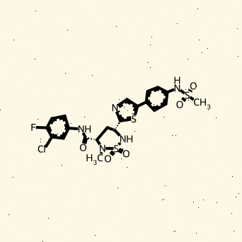 CN1[C@H](C(=O)Nc2ccc(F)c(Cl)c2)C[C@H](c2ncc(-c3ccc(NS(C)(=O)=O)cc3)s2)NS1(=O)=O